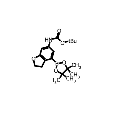 CC(C)(C)OC(=O)Nc1cc2c(c(B3OC(C)(C)C(C)(C)O3)c1)CCO2